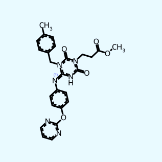 COC(=O)CCn1c(=O)[nH]/c(=N\c2ccc(Oc3ncccn3)cc2)n(Cc2ccc(C)cc2)c1=O